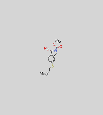 COCCSc1ccc2c(c1)CN(C(=O)OC(C)(C)C)C2O